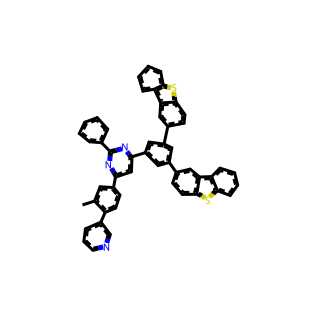 Cc1cc(-c2cc(-c3cc(-c4ccc5sc6ccccc6c5c4)cc(-c4ccc5sc6ccccc6c5c4)c3)nc(-c3ccccc3)n2)ccc1-c1cccnc1